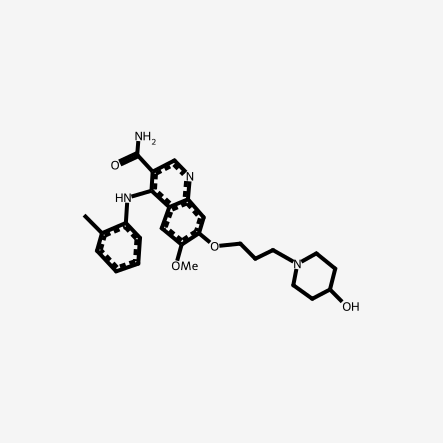 COc1cc2c(Nc3ccccc3C)c(C(N)=O)cnc2cc1OCCCN1CCC(O)CC1